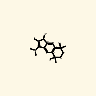 [Li][CH]1C(C)=C(N(C)C)c2cc3c(cc21)C(C)(C)CCC3(C)C